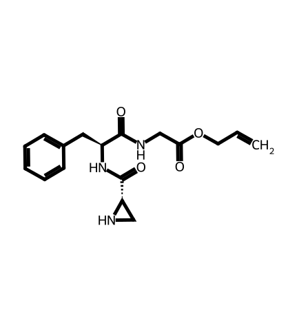 C=CCOC(=O)CNC(=O)[C@H](Cc1ccccc1)NC(=O)[C@@H]1CN1